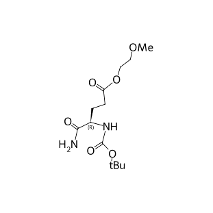 COCCOC(=O)CC[C@@H](NC(=O)OC(C)(C)C)C(N)=O